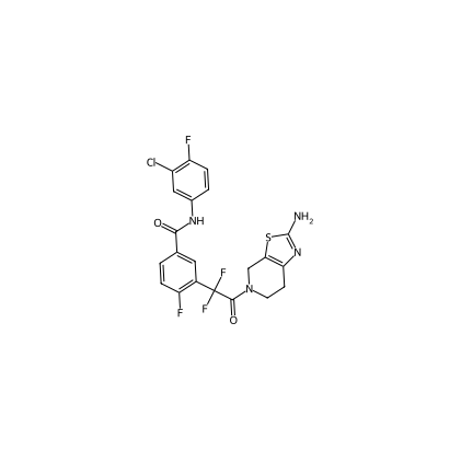 Nc1nc2c(s1)CN(C(=O)C(F)(F)c1cc(C(=O)Nc3ccc(F)c(Cl)c3)ccc1F)CC2